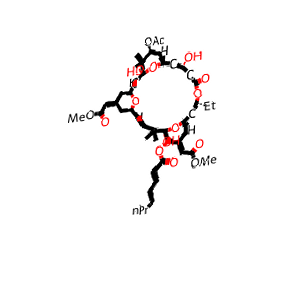 CCC/C=C/C=C/C(=O)O[C@@H]1/C(=C/C(=O)OC)C[C@H]2C[C@@H](CC)OC(=O)C[C@@H](O)C[C@H]3C[C@H](OC(C)=O)C(C)(C)[C@](O)(C[C@@H]4C/C(=C/C(=O)OC)C[C@@H](/C=C/C(C)(C)C1(O)O2)O4)O3